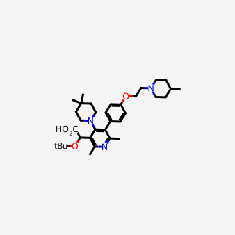 Cc1nc(C)c(C(OC(C)(C)C)C(=O)O)c(N2CCC(C)(C)CC2)c1-c1ccc(OCCN2CCC(C)CC2)cc1